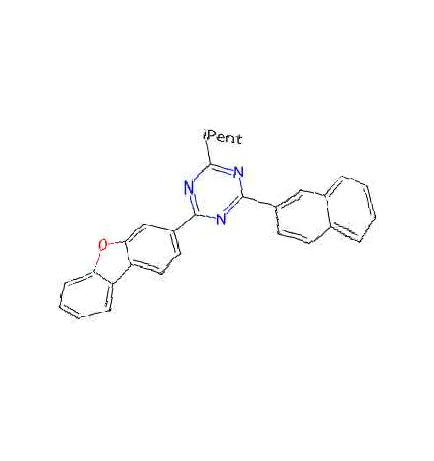 CCCC(C)c1nc(-c2ccc3ccccc3c2)nc(-c2ccc3c(c2)oc2ccccc23)n1